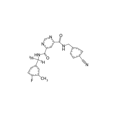 [2H]C([2H])(NC(=O)c1cc(C(=O)NCc2ccc(C#N)cc2)ncn1)c1ccc(F)c(C)c1